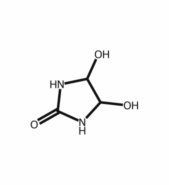 O=C1NC(O)C(O)N1